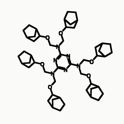 C1CC2CC1CC2OCN(COC1CC2CCC1C2)c1nc(N(COC2CC3CCC2C3)COC2CC3CCC2C3)nc(N(COC2CC3CCC2C3)COC2CC3CCC2C3)n1